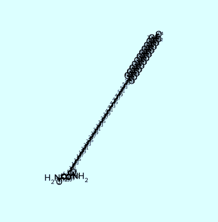 NC(=O)c1ccc2c(CCCCCCCCCCCCCCCCCCCCCCCCCCCCCCCCCCCCCCCCCCCCCCCCCC(=O)C(=O)C(=O)C(=O)C(=O)C(=O)C(=O)C(=O)C(=O)C(=O)C(=O)C(=O)C(=O)C(=O)C(=O)C(=O)C(=O)C(=O)C(=O)C(=O)C(=O)C(=O)C(=O)C=O)c(C(N)=O)ccc2c1